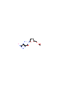 CC(=O)OCC1[CH][CH]C(n2nnc3c([N+](=O)[O-])nn(O)c3c2=O)O1